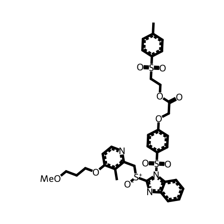 COCCCOc1ccnc(C[S+]([O-])c2nc3ccccc3n2S(=O)(=O)c2ccc(OCC(=O)OCCS(=O)(=O)c3ccc(C)cc3)cc2)c1C